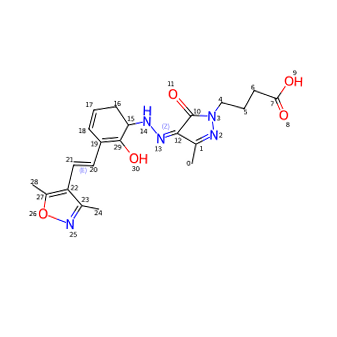 CC1=NN(CCCC(=O)O)C(=O)/C1=N\NC1CC=CC(/C=C/c2c(C)noc2C)=C1O